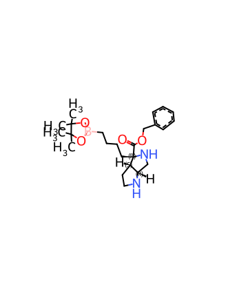 CC1(C)OB(CCCC[C@@]2(C(=O)OCc3ccccc3)NC[C@@H]3NCC[C@@H]32)OC1(C)C